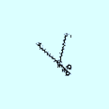 CCCCCCCCCCCCCCCCCCN(CCCCCCCCCCCCCCCCCC)C(=O)COCC(=O)N(C1CCCCC1)C1CCCCC1